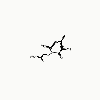 CNC(C)CCn1c(O)cc(C)c(C#N)c1=O